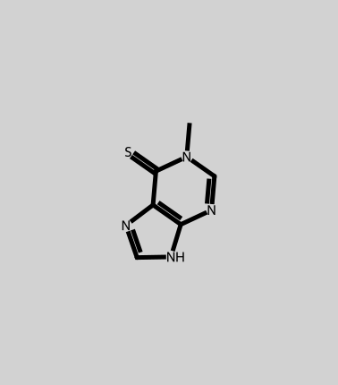 Cn1cnc2[nH]cnc2c1=S